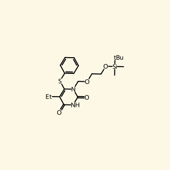 CCc1c(Sc2ccccc2)n(COCCO[Si](C)(C)C(C)(C)C)c(=O)[nH]c1=O